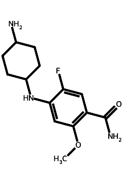 COc1cc(NC2CCC(N)CC2)c(F)cc1C(N)=O